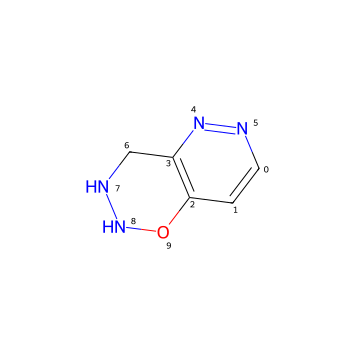 c1cc2c(nn1)CNNO2